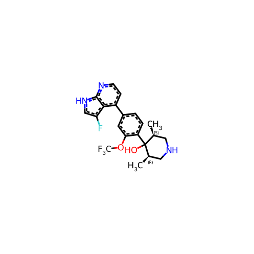 C[C@@H]1CNC[C@H](C)C1(O)c1ccc(-c2ccnc3[nH]cc(F)c23)cc1OC(F)(F)F